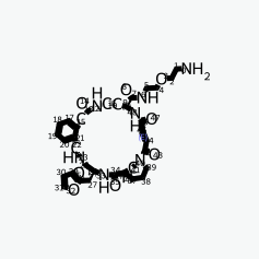 NCCOCCNC(=O)[C@@H]1CCNC(=O)Cc2ccccc2CNC(=O)[C@H](Cc2ccco2)NC(=O)[C@@H]2CCCN(C2)C(=O)/C=C/C(=O)N1